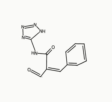 O=[C]C(=Cc1ccccc1)C(=O)Nc1nnn[nH]1